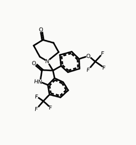 O=C1CCN(C2(c3ccc(OC(F)(F)F)cc3)C(=O)Nc3c(C(F)(F)F)cccc32)CC1